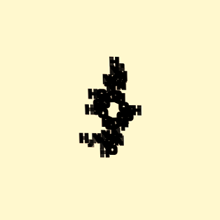 Nc1nc2c(ncn2[C@@H]2O[C@@H]3CO[P@@](=O)(S)O[C@H]4[C@@H](O)[C@H](n5cnc6c(N)ncnc65)O[C@@H]4CO[P@@](=O)(S)O[C@H]3[C@H]2F)c(=O)[nH]1